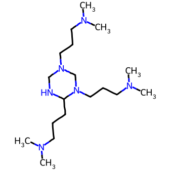 CN(C)CCCC1NCN(CCCN(C)C)CN1CCCN(C)C